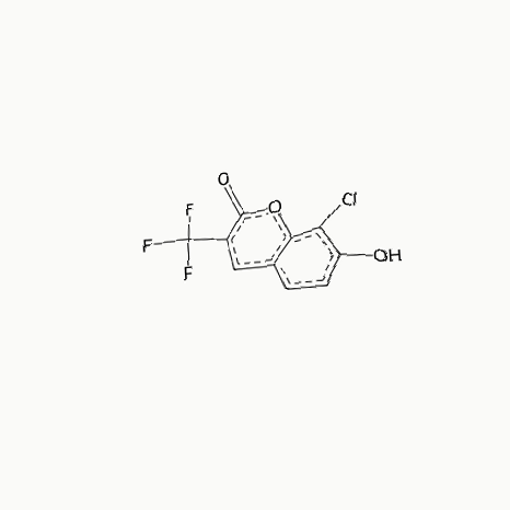 O=c1oc2c(Cl)c(O)ccc2cc1C(F)(F)F